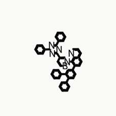 C1=CC(c2nc(-c3ccccc3)nc(-c3ccccc3)n2)=CN2B1c1c(ccc(-c3ccccc3)c1-c1ccccc1)-c1ccc3cccnc3c12